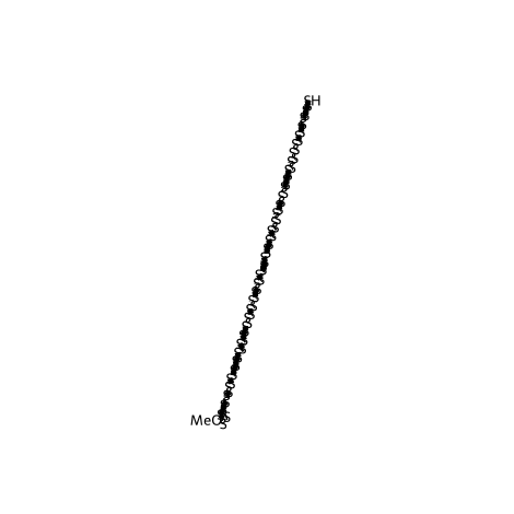 COS(=S)(=S)SSSSSSSSSSSSSSSSSSSSSSSSSSSSSSSSSSSSSSSSSSSSSSSSSSSSSSSSSSSSSSSSSSSSSSSSS